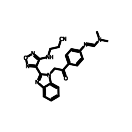 CN(C)/C=N/c1ccc(C(=O)Cn2c(-c3nonc3NCCC#N)nc3ccccc32)cc1